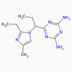 CCc1nc(C)cn1C(CC)c1nc(N)nc(N)n1